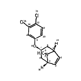 CN1[C@@H]2C=C[C@H]1C[C@H](Oc1ccc(Cl)c(Cl)c1)C2